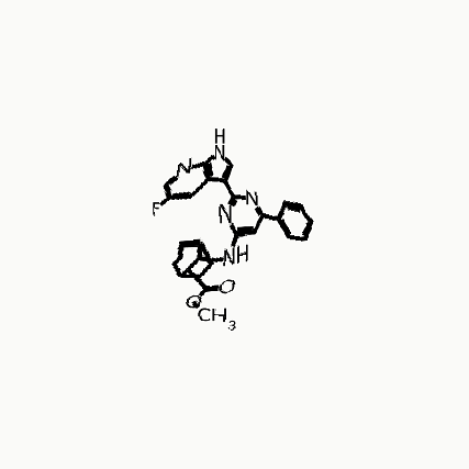 COC(=O)C1C2CCC(CC2)C1Nc1cc(-c2ccccc2)nc(-c2c[nH]c3ncc(F)cc23)n1